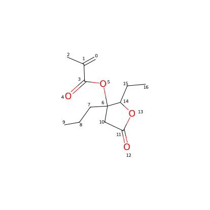 C=C(C)C(=O)OC1(CCC)CC(=O)OC1CC